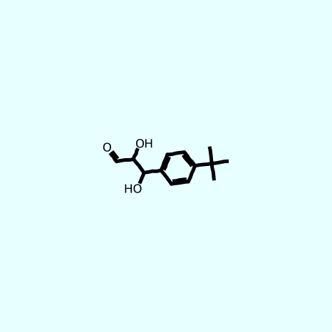 CC(C)(C)c1ccc(C(O)C(O)C=O)cc1